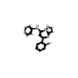 Fc1ccccc1-c1cc(Nc2ccncc2)n2nccc2n1